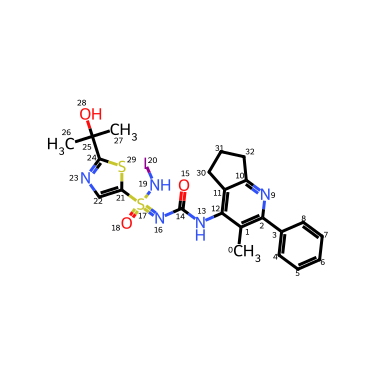 Cc1c(-c2ccccc2)nc2c(c1NC(=O)N=S(=O)(NI)c1cnc(C(C)(C)O)s1)CCC2